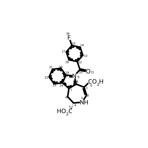 O=C(O)C1=CN[C@H](C(=O)O)Cc2c1n(C(=O)c1ccc(F)cc1)c1ccccc21